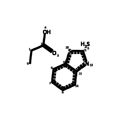 CCC(=O)O.S.c1ccc2scnc2c1